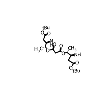 C[C@@H](OC(=O)CC(=O)O[C@H](C)C(=N)CC(=O)OC(C)(C)C)C(=N)CC(=O)OC(C)(C)C